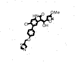 COc1cc(/C(O)=C2\C(=O)Nc3cc(Cl)c(-c4ccc(OCc5cncs5)cc4)cc32)on1